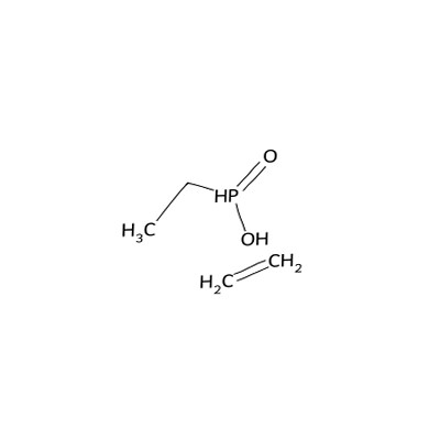 C=C.CC[PH](=O)O